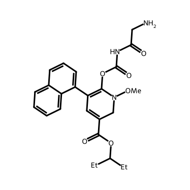 CCC(CC)OC(=O)C1=CC(c2cccc3ccccc23)=C(OC(=O)NC(=O)CN)N(OC)C1